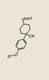 CCCCCC1CCC(C#N)(c2ccc(OCC)cc2)CC1